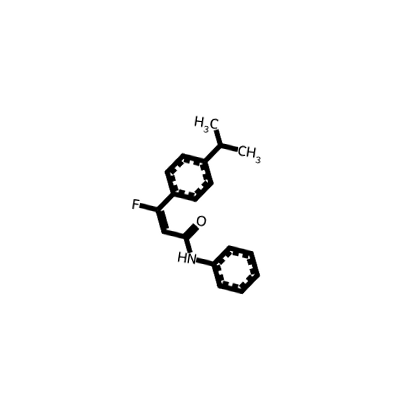 CC(C)c1ccc(/C(F)=C\C(=O)Nc2ccccc2)cc1